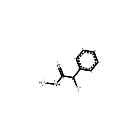 NNC(=O)C(S)c1ccccc1